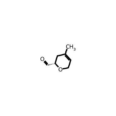 CC1=CCO[C@H](C=O)C1